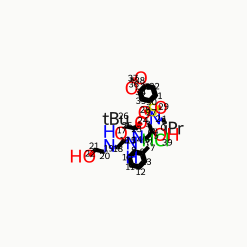 CC(C)CN(C[C@@H](O)[C@H](Cc1ccccc1)N(NC(=O)CNCCO)C(=O)CC(C)(C)C)S(=O)(=O)c1ccc2c(c1)OCO2.Cl